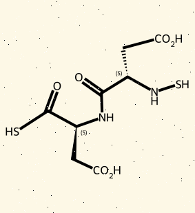 O=C(O)C[C@H](NC(=O)[C@H](CC(=O)O)NS)C(=O)S